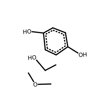 CCO.COC.Oc1ccc(O)cc1